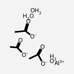 CC(=O)[O-].CC(=O)[O-].CC(=O)[O-].O.O.O.[Al+3]